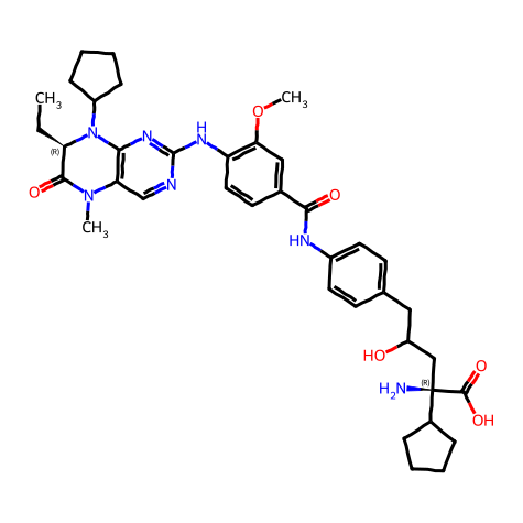 CC[C@@H]1C(=O)N(C)c2cnc(Nc3ccc(C(=O)Nc4ccc(CC(O)C[C@](N)(C(=O)O)C5CCCC5)cc4)cc3OC)nc2N1C1CCCC1